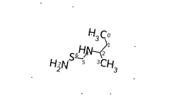 CCC(C)NCSN